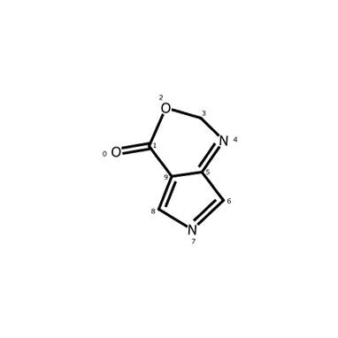 O=C1OCN=C2C=NC=C12